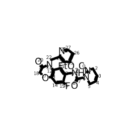 CCOC(=O)N1CC=CCN1C(=O)Nc1cc2c(cc1F)OCC(=O)N2Cc1ccccn1